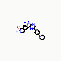 C[C@@H]1CCCCN1c1ccc(-c2cnc(N)c(-c3ccc4c(c3)CCNC4=O)n2)c(F)c1